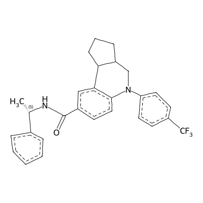 C[C@H](NC(=O)c1ccc2c(c1)C1CCCC1CN2c1ccc(C(F)(F)F)cc1)c1ccccc1